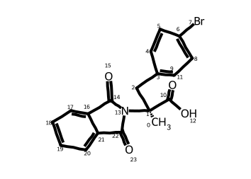 C[C@](Cc1ccc(Br)cc1)(C(=O)O)N1C(=O)c2ccccc2C1=O